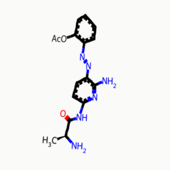 CC(=O)Oc1ccccc1/N=N/c1ccc(NC(=O)[C@H](C)N)nc1N